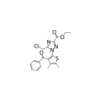 CCOC(=O)c1nc(CCl)n(-c2sc(C)c(C)c2C(=O)c2ccccc2)n1